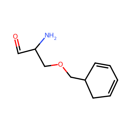 NC(C=O)COCC1C=CC=CC1